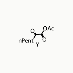 CCCCCC(=O)C(=O)OC(C)=O.[Y]